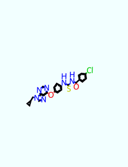 O=C(NC(=S)Nc1ccc(Oc2ncnc3c2ncn3CC2CC2)cc1)c1ccc(Cl)cc1